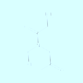 BCC(=O)N(CC)CC(=O)I